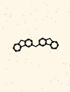 c1ccc2c(c1)Cc1ccc(Cc3ccc4c(c3)-c3ccccc3C4)cc1-2